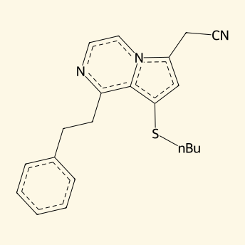 CCCCSc1cc(CC#N)n2ccnc(CCc3ccccc3)c12